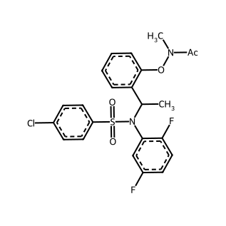 CC(=O)N(C)Oc1ccccc1C(C)N(c1cc(F)ccc1F)S(=O)(=O)c1ccc(Cl)cc1